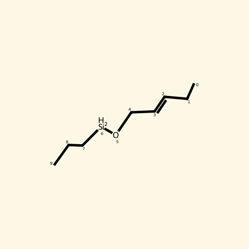 CCC=CCO[SiH2]CCC